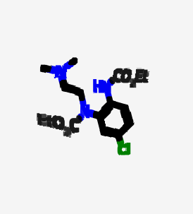 CCOC(=O)Nc1ccc(Cl)cc1N(CCN(C)C)C(=O)OCC